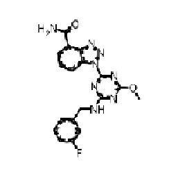 COc1nc(NCc2cccc(F)c2)nc(-n2nnc3c(C(N)=O)cccc32)n1